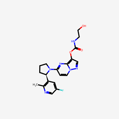 Cc1ncc(F)cc1[C@H]1CCCN1c1ccn2ncc(OC(=O)NCCO)c2n1